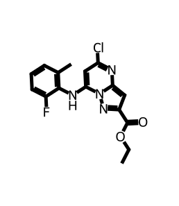 CCOC(=O)c1cc2nc(Cl)cc(Nc3c(C)cccc3F)n2n1